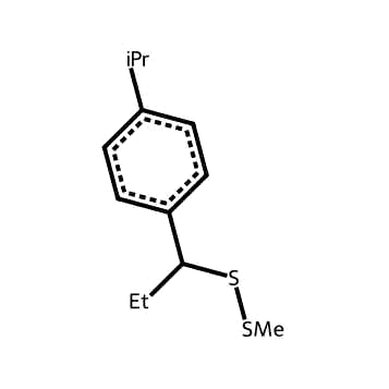 CCC(SSC)c1ccc(C(C)C)cc1